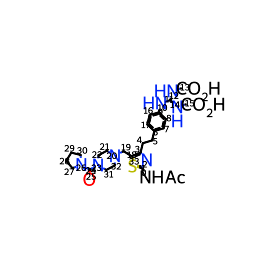 CC(=O)Nc1nc(CCc2ccc(NC(NC(=O)O)NC(=O)O)cc2)c(CN2CCN(C(=O)N3CCCC3)CC2)s1